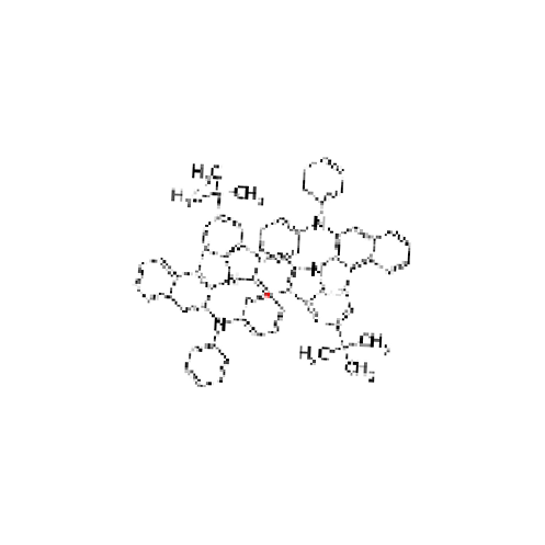 CC(C)(C)c1cc2c3cc4c(cc3n3c5c(N(c6ccccc6)c6ccccc6)cc6ccccc6c5c(c1)c23)c1cc(C(C)(C)C)cc2c3c5ccccc5cc(N(c5ccccc5)c5ccccc5)c3n4c12